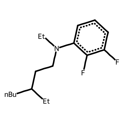 CCCCC(CC)CCN(CC)c1cccc(F)c1F